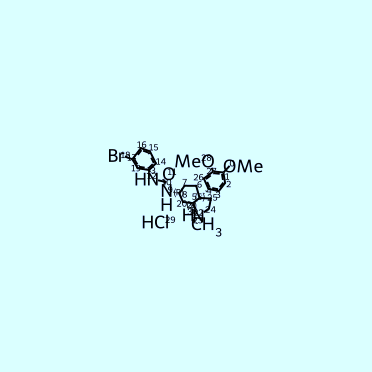 COc1ccc([C@@]23CC[C@@H](NC(=O)Nc4cccc(Br)c4)C[C@@H]2N(C)CC3)cc1OC.Cl